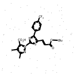 Cc1nn(-c2nc(-c3ccc(C(F)(F)F)cc3)c(C=CC(=O)OC(C)(C)C)s2)c(C(=O)O)c1I